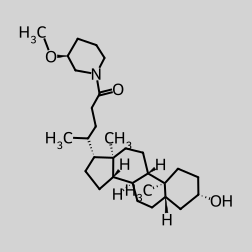 CO[C@H]1CCCN(C(=O)CCC(C)[C@H]2CC[C@H]3[C@@H]4CC[C@H]5C[C@@H](O)CC[C@]5(C)[C@H]4CC[C@]23C)C1